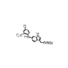 CNCc1c[nH]c2cc(Nc3ccc(Cl)cc3C(F)(F)F)ccc12